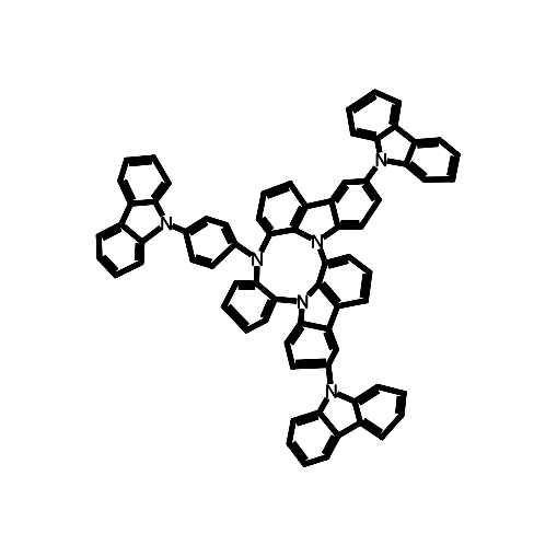 c1ccc2c(c1)c1ccccc1n2-c1ccc(-n2c3ccccc3n3c4ccc(-n5c6ccccc6c6ccccc65)cc4c4cccc(c43)n3c4ccc(-n5c6ccccc6c6ccccc65)cc4c4cccc2c43)cc1